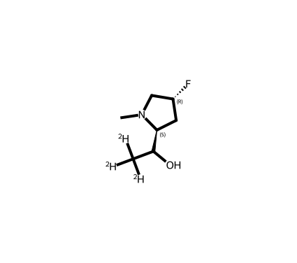 [2H]C([2H])([2H])C(O)[C@@H]1C[C@@H](F)CN1C